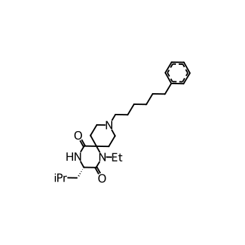 CCN1C(=O)[C@H](CC(C)C)NC(=O)C12CCN(CCCCCCc1ccccc1)CC2